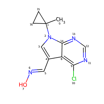 CC1(n2cc(C=NO)c3c(Cl)ncnc32)CC1